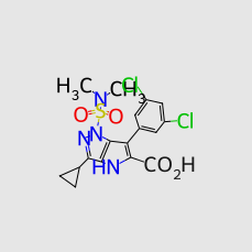 CN(C)S(=O)(=O)n1nc(C2CC2)c2[nH]c(C(=O)O)c(-c3cc(Cl)cc(Cl)c3)c21